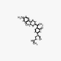 C=C(c1ccc(N(C=O)CCNC)cc1Cl)N1CCN(c2ncc(C)cc2C)CC1